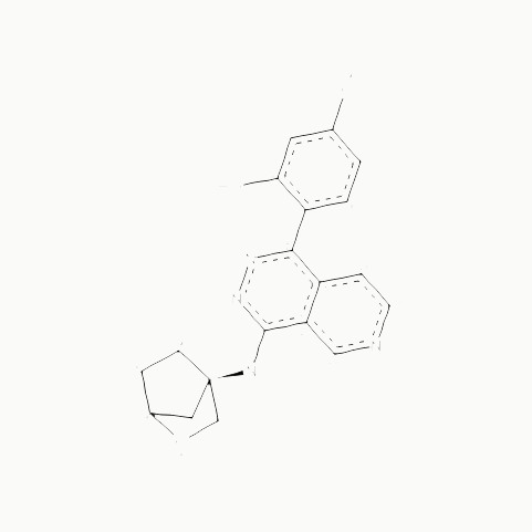 Oc1cc(Cl)ccc1-c1nnc(N[C@]23CCC(C2)OC3)c2cnccc12